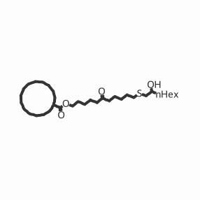 CCCCCCC(O)CSCCCCCC(=O)CCCCCOC(=O)C1CCCCCCCCCCCCCC1